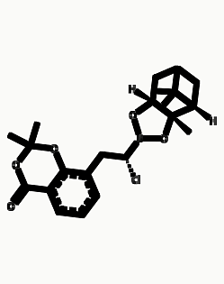 CC1(C)OC(=O)c2cccc(C[C@@H](Cl)B3O[C@@H]4CC5C[C@@H](C5(C)C)[C@]4(C)O3)c2O1